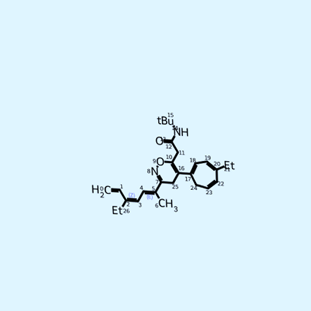 C=C/C(=C\C=C(/C)C1=NOC(CC(=O)NC(C)(C)C)=C(C2=CC=C(CC)C=CC2)C1)CC